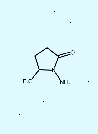 NN1C(=O)CCC1C(F)(F)F